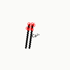 CCCCCCCCCCCCCCCCCCOC(=O)CCC(=O)[O-].CCCCCCCCCCCCCCCCCCOC(=O)CCC(=O)[O-].[Ca+2]